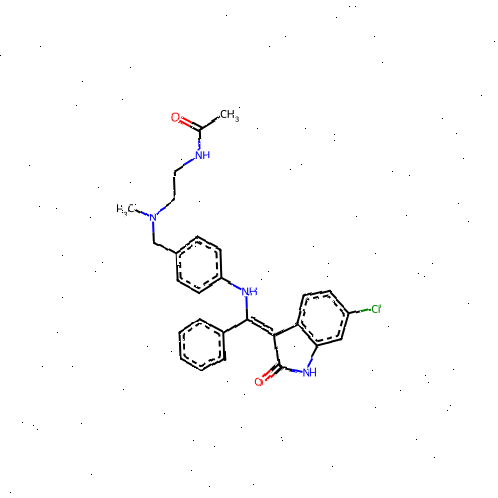 CC(=O)NCCN(C)Cc1ccc(NC(=C2C(=O)Nc3cc(Cl)ccc32)c2ccccc2)cc1